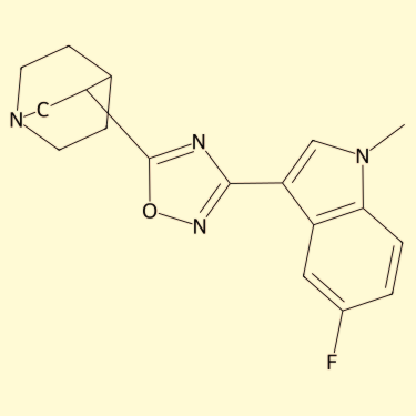 Cn1cc(-c2noc(C3CN4CCC3CC4)n2)c2cc(F)ccc21